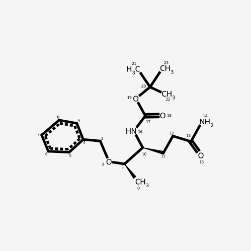 C[C@@H](OCc1ccccc1)[C@H](CCC(N)=O)NC(=O)OC(C)(C)C